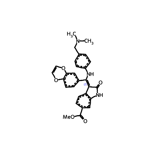 COC(=O)c1ccc2c(c1)NC(=O)/C2=C(\Nc1ccc(CN(C)C)cc1)c1ccc2c(c1)OC=CO2